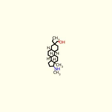 CCC1(CO)CC[C@H]2[C@@H](CC[C@@H]3[C@@H]2CC[C@]2(C)[C@@H](NC)CC[C@@H]32)C1